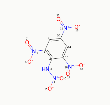 O=[N+]([O-])Nc1c([N+](=O)[O-])cc([N+](=O)[O-])cc1[N+](=O)[O-]